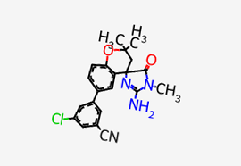 CN1C(=O)C2(CC(C)(C)Oc3ccc(-c4cc(Cl)cc(C#N)c4)cc32)N=C1N